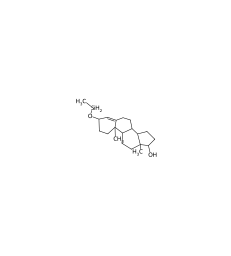 C[SiH2]OC1C=C2CCC3C(CCC4(C)C(O)CCC34)C2(C)CC1